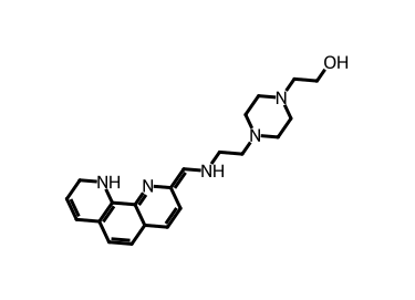 OCCN1CCN(CCNC=C2C=CC3C=CC4=C(NCC=C4)C3=N2)CC1